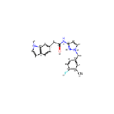 Cn1ccc2ccc(CC(=O)Nc3ccn(Cc4ccc(F)c(C#N)c4)n3)cc21